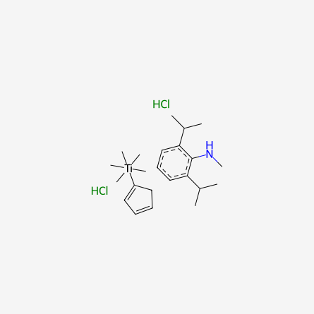 CNc1c(C(C)C)cccc1C(C)C.Cl.Cl.[CH3][Ti]([CH3])([CH3])([CH3])([CH3])[C]1=CC=CC1